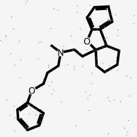 CN(CCCOc1ccccc1)CCC12CCCCC1c1ccccc1O2